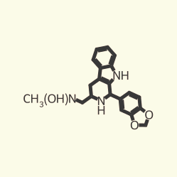 CN(O)CC1Cc2c([nH]c3ccccc23)C(c2ccc3c(c2)OCO3)N1